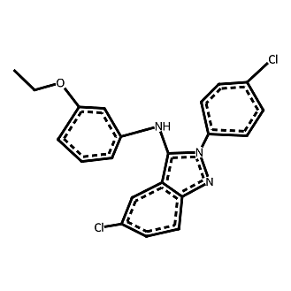 CCOc1cccc(Nc2c3cc(Cl)ccc3nn2-c2ccc(Cl)cc2)c1